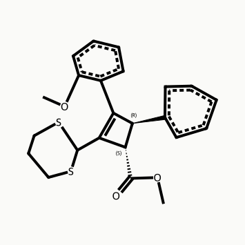 COC(=O)[C@@H]1C(C2SCCCS2)=C(c2ccccc2OC)[C@H]1c1ccccc1